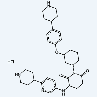 Cl.O=C1CCC(Nc2ccc(C3CCNCC3)nc2)C(=O)N1N1CCCC(Oc2ccc(C3CCNCC3)cc2)C1